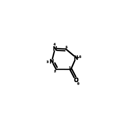 O=C1C=NN=C[N]1